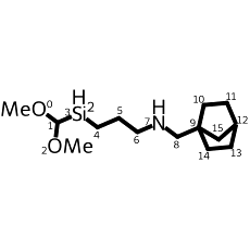 COC(OC)[SiH2]CCCNCC12CCC(CC1)C2